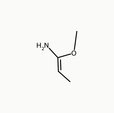 CC=C(N)OC